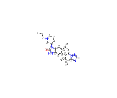 CCCN1CCC[C@@H](n2c(=O)[nH]c3cc(-c4cn5ncnc5c(C)c4C)c(C(C)C)cc32)C1